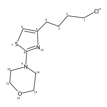 ClCCCCc1csc(N2CCOCC2)n1